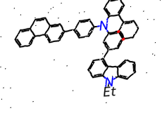 CCn1c2ccccc2c2c(-c3cccc(N(c4ccc(-c5ccc6c(ccc7ccccc76)c5)cc4)c4ccccc4C4=CCCC=C4)c3)cccc21